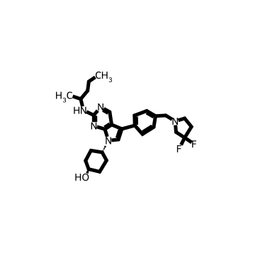 CCCC(C)Nc1ncc2c(-c3ccc(CN4CCC(F)(F)C4)cc3)cn([C@H]3CC[C@H](O)CC3)c2n1